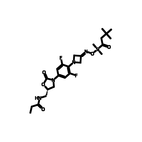 CCC(=O)NC[C@H]1CN(c2cc(F)c(N3CC(=NO[Si](C)(C)C(=O)CC(C)(C)C)C3)c(F)c2)C(=O)O1